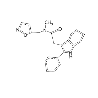 CN(Cc1ccno1)C(=O)Cc1c(-c2ccccc2)[nH]c2ccccc12